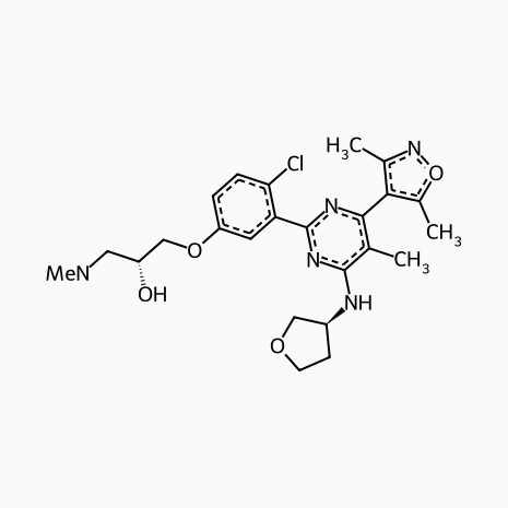 CNC[C@@H](O)COc1ccc(Cl)c(-c2nc(N[C@H]3CCOC3)c(C)c(-c3c(C)noc3C)n2)c1